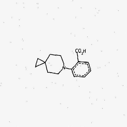 O=C(O)c1ccccc1N1CCC2(CC1)CC2